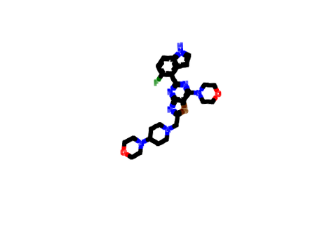 Fc1ccc2[nH]ccc2c1-c1nc(N2CCOCC2)c2sc(CN3CCC(N4CCOCC4)CC3)nc2n1